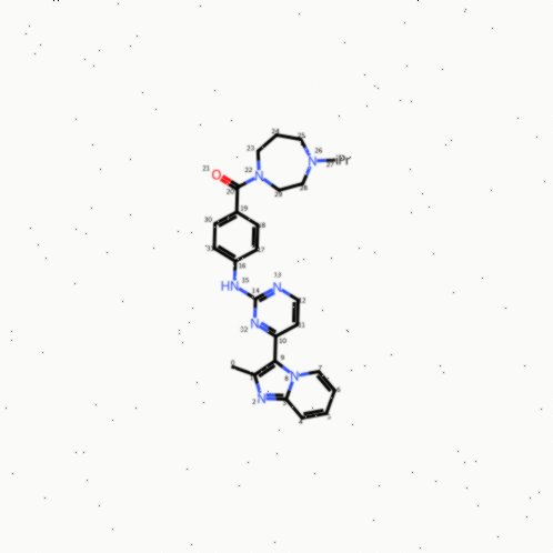 Cc1nc2ccccn2c1-c1ccnc(Nc2ccc(C(=O)N3CCCN(C(C)C)CC3)cc2)n1